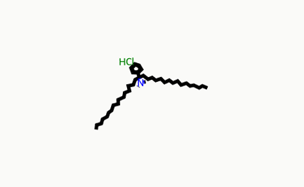 CCCCCCCCCCCCCCCCC(CCCCCCCCCCCCCCCC)(c1ccccc1)N(C)C.Cl